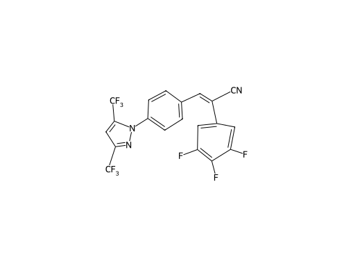 N#CC(=Cc1ccc(-n2nc(C(F)(F)F)cc2C(F)(F)F)cc1)c1cc(F)c(F)c(F)c1